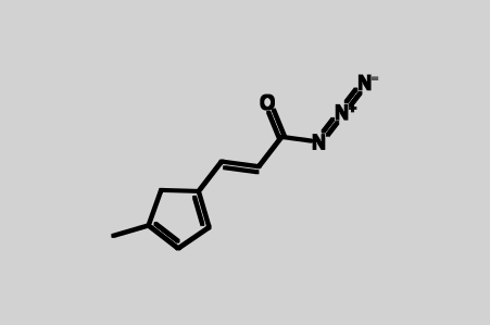 CC1=CC=C(/C=C/C(=O)N=[N+]=[N-])C1